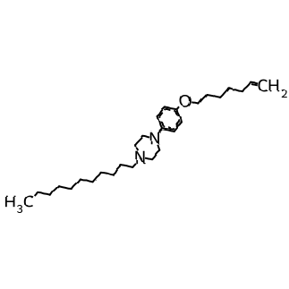 C=CCCCCCOc1ccc(N2CCN(CCCCCCCCCCC)CC2)cc1